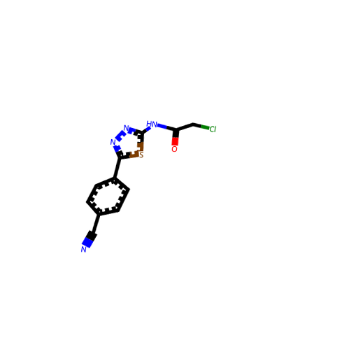 N#Cc1ccc(-c2nnc(NC(=O)CCl)s2)cc1